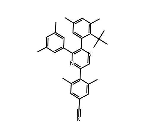 Cc1cc(C)cc(-c2nc(-c3c(C)cc(C#N)cc3C)cnc2-c2cc(C)cc(C)c2C(C)(C)C)c1